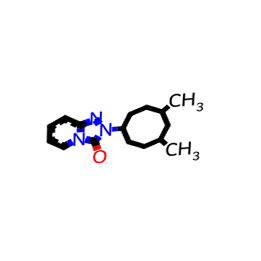 CC1CCC(n2nc3ccccn3c2=O)CCC(C)C1